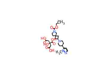 CCOC(=O)N1CCC2(CC(N3CCC(c4ccnn4C)CC3)C2)C1.O=C(O)CC(O)(CC(=O)O)C(=O)O